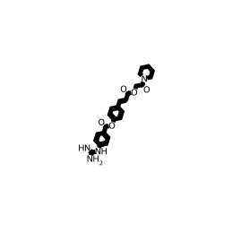 N=C(N)Nc1ccc(C(=O)Oc2ccc(C=CC(=O)OCC(=O)N3CCCCC3)cc2)cc1